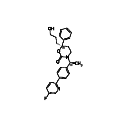 C[C@@H](c1ccc(-c2ccc(F)cn2)cc1)N1CC[C@](CCCO)(c2ccccc2)OC1=O